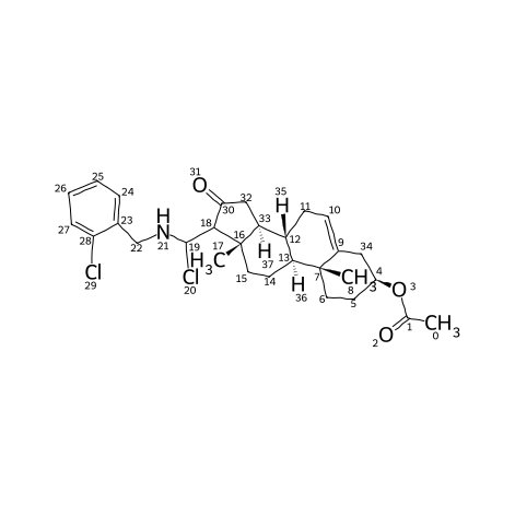 CC(=O)O[C@H]1CC[C@@]2(C)C(=CC[C@@H]3[C@@H]2CC[C@]2(C)C(C(Cl)NCc4ccccc4Cl)C(=O)C[C@@H]32)C1